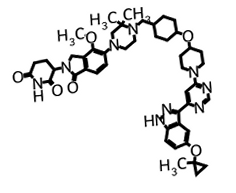 COc1c(N2CCN(CC3CCC(OC4CCN(c5cc(-c6n[nH]c7ccc(OC8(C)CC8)cc67)ncn5)CC4)CC3)C(C)(C)C2)ccc2c1CN(C1CCC(=O)NC1=O)C2=O